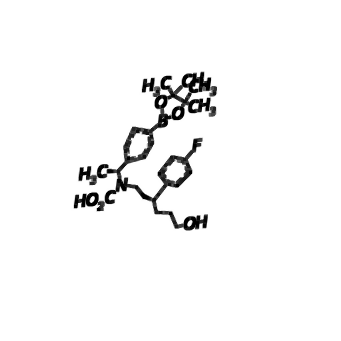 C[C@@H](c1ccc(B2OC(C)(C)C(C)(C)O2)cc1)N(CC[C@H](CCCO)c1ccc(F)cc1)C(=O)O